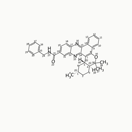 C[C@H]1CC[C@H]2[C@H](C1)c1c(c3ccccc3c3nc4ccc(C(=O)NCc5ccccc5)cc4nc13)OC2(C)C